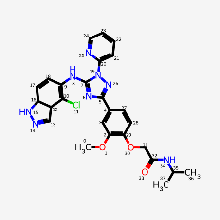 COc1cc(-c2nc(NC3=C(Cl)C4C=NNC4C=C3)n(-c3ccccn3)n2)ccc1OCC(=O)NC(C)C